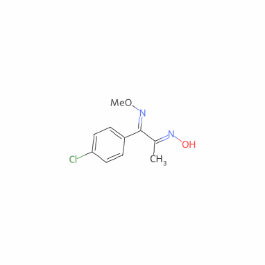 CO/N=C(/C(C)=N/O)c1ccc(Cl)cc1